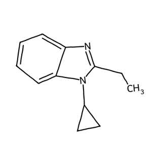 CCc1nc2ccccc2n1C1CC1